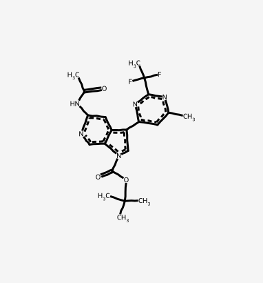 CC(=O)Nc1cc2c(-c3cc(C)nc(C(C)(F)F)n3)cn(C(=O)OC(C)(C)C)c2cn1